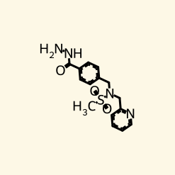 CS(=O)(=O)N(Cc1ccc(C(=O)NN)cc1)Cc1ccccn1